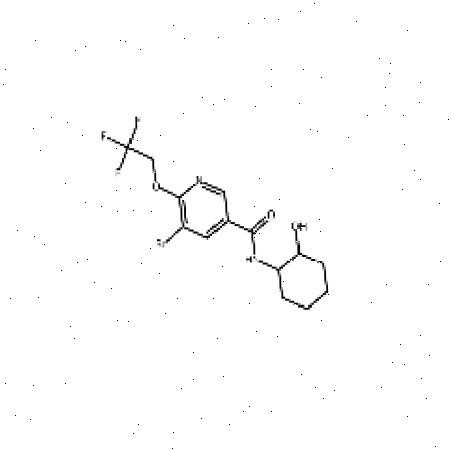 O=C(NC1CCCCC1O)c1cnc(OCC(F)(F)F)c(Br)c1